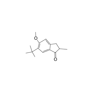 COc1cc2c(cc1C(C)(C)C)C(=O)C(C)C2